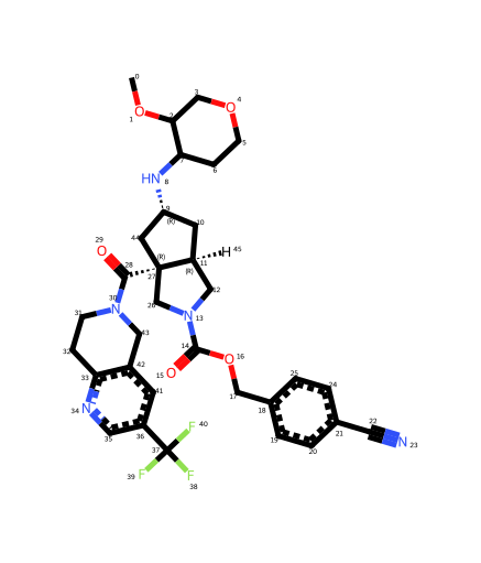 COC1COCCC1N[C@@H]1C[C@H]2CN(C(=O)OCc3ccc(C#N)cc3)C[C@@]2(C(=O)N2CCc3ncc(C(F)(F)F)cc3C2)C1